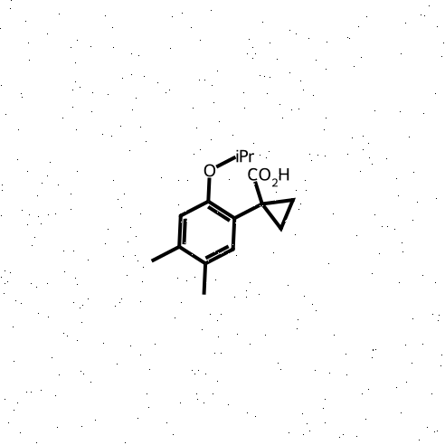 Cc1cc(OC(C)C)c(C2(C(=O)O)CC2)cc1C